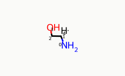 NCCO.[H]